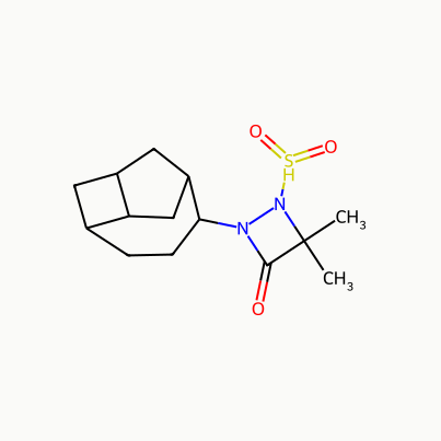 CC1(C)C(=O)N(C2CCC3CC4CC2CC34)N1[SH](=O)=O